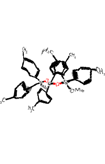 CO[Si](O[Si](O[Si](OC)(c1ccc(C)cc1)c1ccc(C)cc1)(c1ccc(C)cc1)c1ccc(C)cc1)(c1ccc(C)cc1)c1ccc(C)cc1